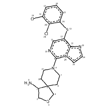 NC1COCC12CCN(c1ncc(Sc3cccc(Cl)c3Cl)c3nccn13)CC2